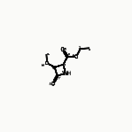 CCOC(=O)C1NC(=O)C1OC